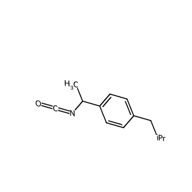 CC(C)Cc1ccc(C(C)N=C=O)cc1